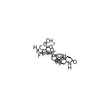 COC(=O)C(NC(=O)C1CC[C@H]2[C@@H]3CCC4NC(=O)C=C[C@]4(C)[C@@H]3CC[C@]12C)C(C)C(F)(F)F